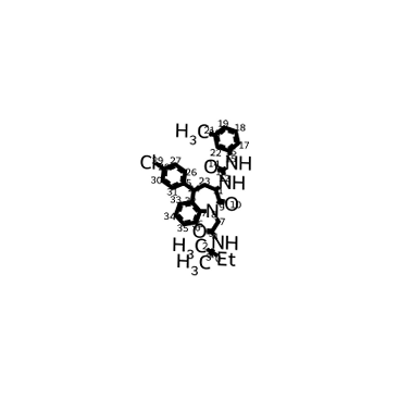 CCC(C)(C)NC(=O)CN1C(=O)C(NC(=O)Nc2cccc(C)c2)CC(c2ccc(Cl)cc2)c2ccccc21